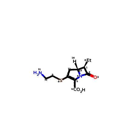 CC[C@H]1C(=O)N2C(C(=O)O)=C(SCCN)C[C@H]12